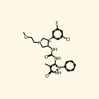 COCCN1CC(NC(=O)Nc2c(C)c(=O)[nH]n2-c2ccccc2)[C@H](c2cc(F)cc(Cl)c2)C1